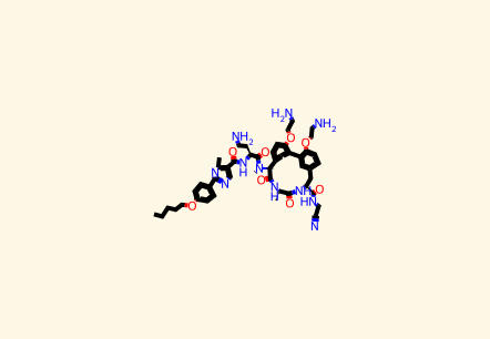 CCCCCOc1ccc(-c2ncc(C(=O)N[C@@H](CCN)C(=O)N(C)[C@@H]3C(=O)N[C@@H](C)C(=O)N[C@H](C(=O)NCC#N)Cc4ccc(OCCN)c(c4)-c4cc3ccc4OCCN)c(C)n2)cc1